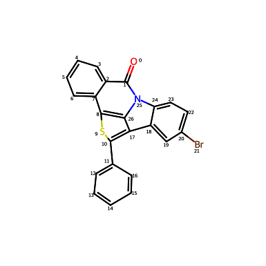 O=c1c2ccccc2c2sc(-c3ccccc3)c3c4cc(Br)ccc4n1c23